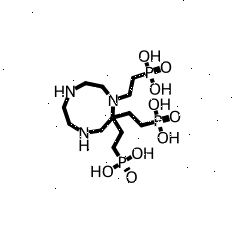 O=P(O)(O)CCN1CCNCCNCC1(CCP(=O)(O)O)CCP(=O)(O)O